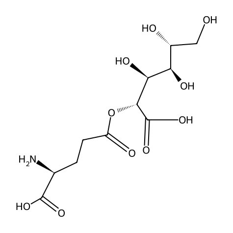 N[C@@H](CCC(=O)O[C@@H](C(=O)O)[C@@H](O)[C@H](O)[C@H](O)CO)C(=O)O